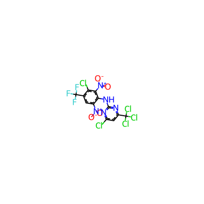 O=[N+]([O-])c1cc(C(F)(F)F)c(Cl)c([N+](=O)[O-])c1Nc1nc(Cl)cc(C(Cl)(Cl)Cl)n1